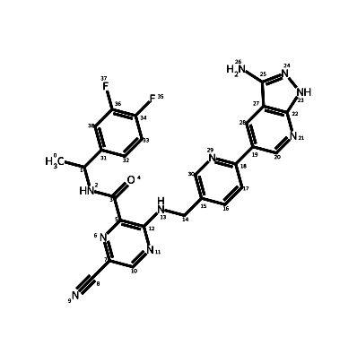 CC(NC(=O)c1nc(C#N)cnc1NCc1ccc(-c2cnc3[nH]nc(N)c3c2)nc1)c1ccc(F)c(F)c1